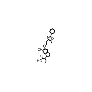 CCC(C(=O)O)C1CCc2cc(OCCc3nc(-c4ccccc4)oc3C)c(Cl)cc21